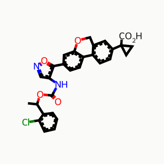 CC(OC(=O)Nc1cnoc1-c1ccc2c(c1)OCc1cc(C3(C(=O)O)CC3)ccc1-2)c1ccccc1Cl